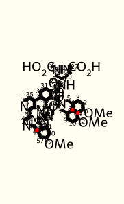 COc1ccc(CN(Cc2ccc(OC)cc2)S(=O)(=O)c2c(S(=O)(=O)NC(CNC(=O)O)CNC(=O)O)ccc(-c3ccnc(-c4cnc5ccncn45)c3)c2-c2nnn(Cc3ccc(OC)cc3)n2)cc1